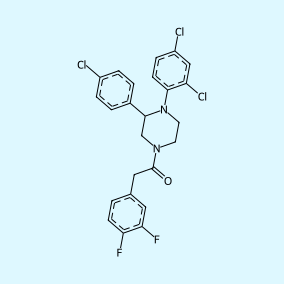 O=C(Cc1ccc(F)c(F)c1)N1CCN(c2ccc(Cl)cc2Cl)C(c2ccc(Cl)cc2)C1